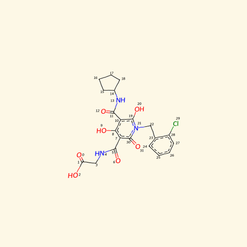 O=C(O)CNC(=O)c1c(O)c(C(=O)NC2CCCC2)c(O)n(Cc2ccccc2Cl)c1=O